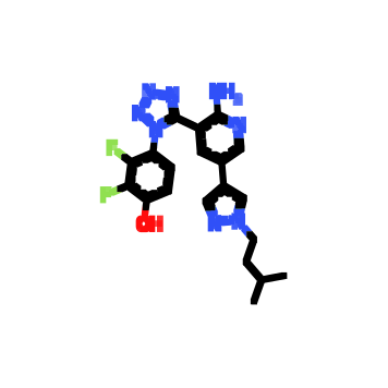 CC(C)CCn1cc(-c2cnc(N)c(-c3nnnn3-c3ccc(O)c(F)c3F)c2)cn1